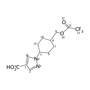 O=C(O)c1cnn(C2CCC(COC(=O)C(F)(F)F)CC2)c1